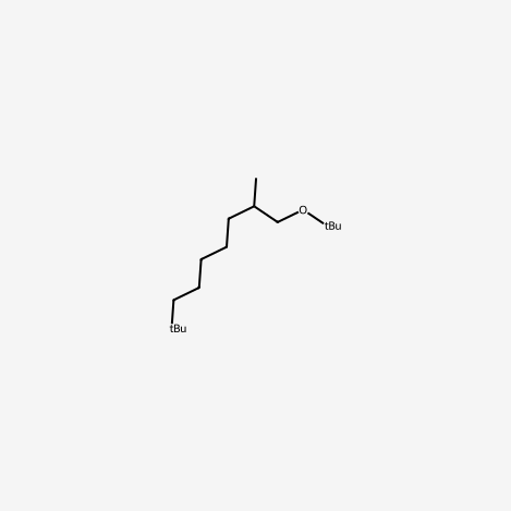 CC(CCCCCC(C)(C)C)COC(C)(C)C